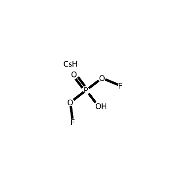 O=P(O)(OF)OF.[CsH]